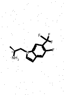 C[C@H](N)Cn1ccc2cc(F)c(C(F)(F)F)cc21